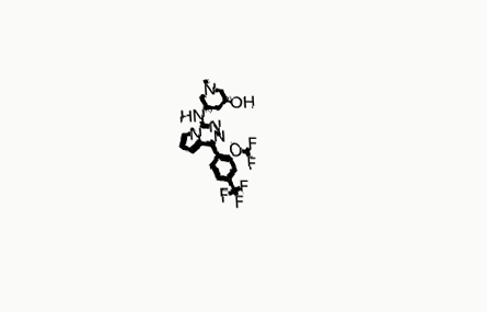 CN1C[C@H](O)C[C@@H](Nc2nnc(-c3ccc(C(F)(F)F)cc3OC(F)F)c3cccn23)C1